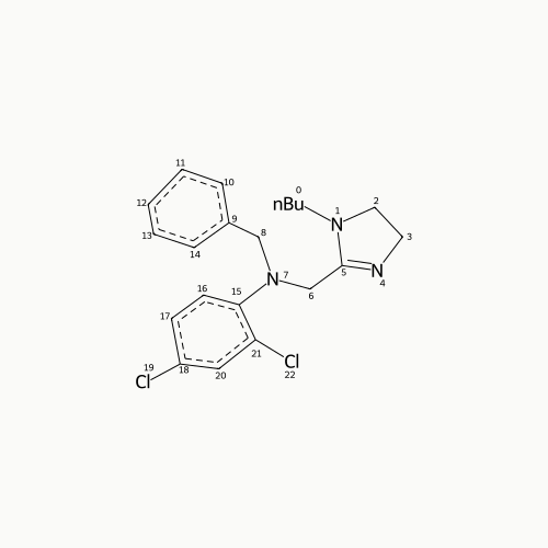 CCCCN1CCN=C1CN(Cc1ccccc1)c1ccc(Cl)cc1Cl